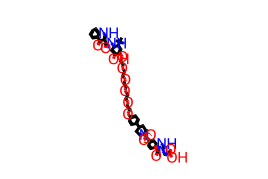 CC(C)(C)C1C=C(OCCOCCOCCOCCOCCOc2ccc(C3CCN(S(=O)(=O)c4ccc5c(c4)NCN(CC(=O)O)C5=O)CC3)cc2)C(O)=CC1NC(=O)c1c[nH]c2ccccc2c1=O